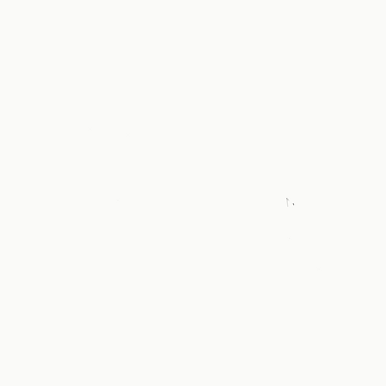 Cc1cc(-c2c(C)cccc2C)cc2c1NC(=O)C2